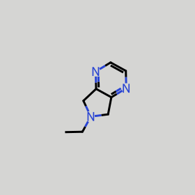 CCN1Cc2nccnc2C1